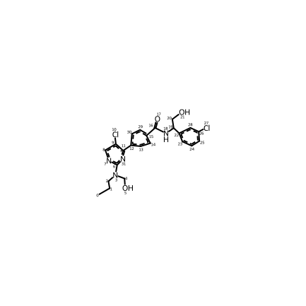 CCCN(CO)c1ncc(Cl)c(-c2ccc(C(=O)NC(CO)c3cccc(Cl)c3)cc2)n1